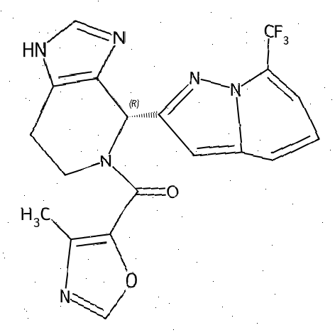 Cc1ncoc1C(=O)N1CCc2[nH]cnc2[C@@H]1c1cc2cccc(C(F)(F)F)n2n1